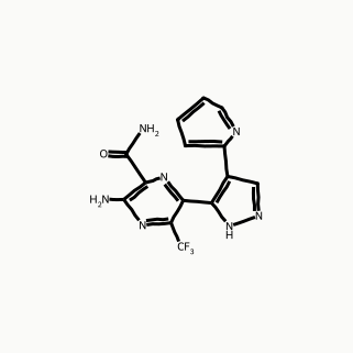 NC(=O)c1nc(-c2[nH]ncc2-c2ccccn2)c(C(F)(F)F)nc1N